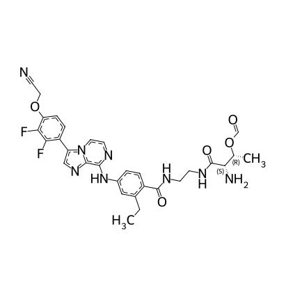 CCc1cc(Nc2nccn3c(-c4ccc(OCC#N)c(F)c4F)cnc23)ccc1C(=O)NCCNC(=O)[C@@H](N)[C@@H](C)OC=O